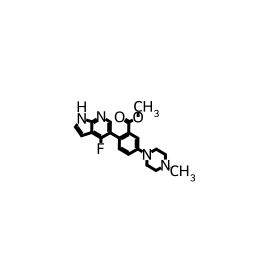 COC(=O)c1cc(N2CCN(C)CC2)ccc1-c1cnc2[nH]ccc2c1F